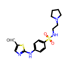 O=Cc1cnc(Nc2ccc(S(=O)(=O)NCCN3CCCC3)cc2)s1